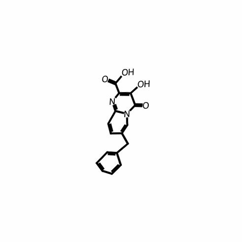 O=C(O)c1nc2ccc(Cc3ccccc3)cn2c(=O)c1O